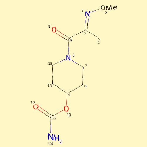 CO/N=C(\C)C(=O)N1CCC(OC(N)=O)CC1